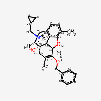 CC(=O)C1=C(OCc2ccccc2)[C@@H]2Oc3c(C)ccc4c3[C@@]23CCN(CC2CC2)[C@H](C4)[C@]3(O)C1